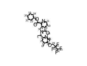 Cc1cc(C(C)N2Cc3c(ccnc3C(=O)Oc3ccccc3)C2=O)nnc1OCC(F)(F)C(F)F